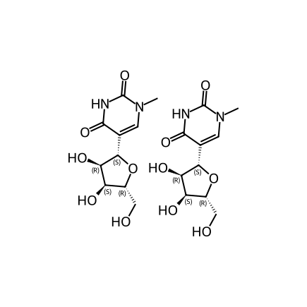 Cn1cc([C@@H]2O[C@H](CO)[C@@H](O)[C@H]2O)c(=O)[nH]c1=O.Cn1cc([C@@H]2O[C@H](CO)[C@@H](O)[C@H]2O)c(=O)[nH]c1=O